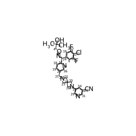 CC(C)(O)CO/N=C(\c1cc(F)c(Cl)c(F)c1)c1ccc(CN2CC3(C2)CN(c2cncc(C#N)c2)C3)cn1